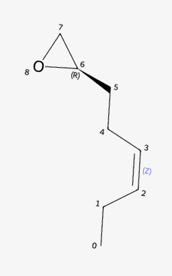 CC/C=C\CC[C@@H]1CO1